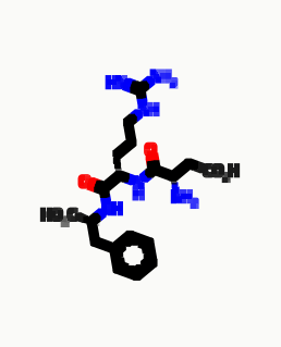 N=C(N)NCCC[C@H](NC(=O)[C@@H](N)CC(=O)O)C(=O)N[C@@H](Cc1ccccc1)C(=O)O